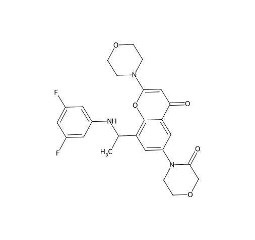 CC(Nc1cc(F)cc(F)c1)c1cc(N2CCOCC2=O)cc2c(=O)cc(N3CCOCC3)oc12